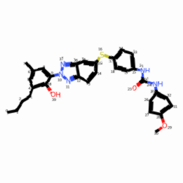 CCCCc1cc(C)cc(-n2nc3ccc(Sc4ccc(NC(=O)Nc5ccc(OC)cc5)cc4)cc3n2)c1O